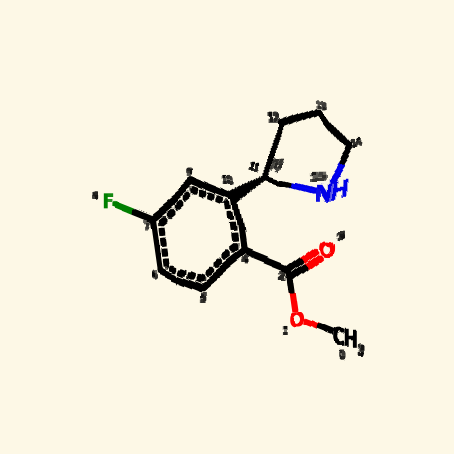 COC(=O)c1ccc(F)cc1[C@H]1CCCN1